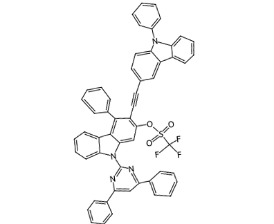 O=S(=O)(Oc1cc2c(c(-c3ccccc3)c1C#Cc1ccc3c(c1)c1ccccc1n3-c1ccccc1)c1ccccc1n2-c1nc(-c2ccccc2)cc(-c2ccccc2)n1)C(F)(F)F